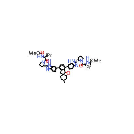 C=C(N[C@H](C(=O)N1CCC[C@H]1c1nc2ccc(-c3ccc(-c4ccc5nc([C@@H]6CCCN6C(=O)[C@@H](NC(=O)OC)C(C)C)[nH]c5c4)c4c3C(=O)C3(CCC(C)CC3)C4)cc2[nH]1)C(C)C)OC